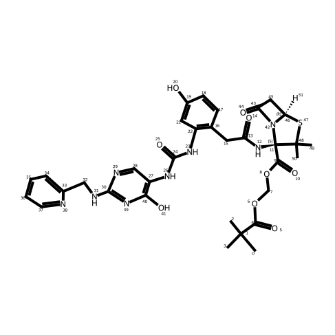 CC(C)(C)C(=O)OCOC(=O)[C@]1(NC(=O)Cc2ccc(O)cc2NC(=O)Nc2cnc(NCc3ccccn3)nc2O)N2C(=O)C[C@H]2SC1(C)C